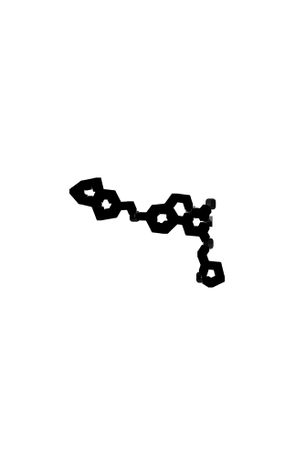 O=c1nc(OCC2CCCO2)cc2n1CCc1cc(OCc3ccc4ccccc4c3)ccc1-2